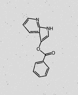 O=C(Oc1c[nH]c2ncccc12)c1ccccc1